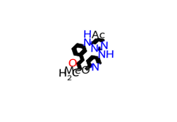 C=CC(=O)Cc1cccc(Nc2nc(Nc3ccc(OC)nc3)ncc2C(C)=O)c1